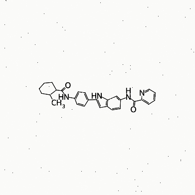 CC1CCCCC1C(=O)Nc1ccc(-c2cc3ccc(NC(=O)c4ccccn4)cc3[nH]2)cc1